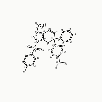 Cc1ccc(S(=O)(=O)n2nc(C(=O)O)c3c2CC(c2ccccc2)(c2ccc(N(C)C)cc2)C=C3)cc1